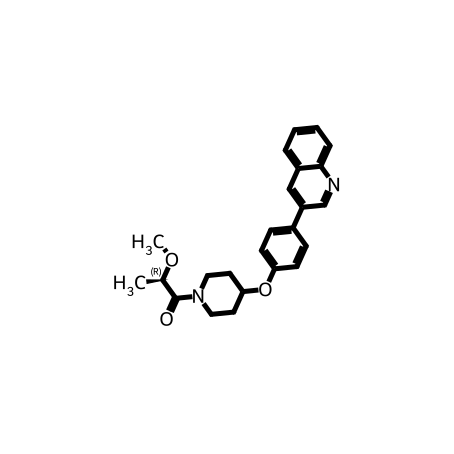 CO[C@H](C)C(=O)N1CCC(Oc2ccc(-c3cnc4ccccc4c3)cc2)CC1